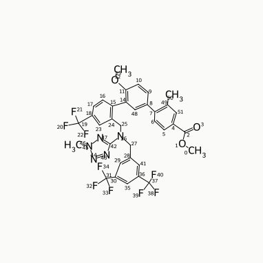 COC(=O)c1ccc(-c2ccc(OC)c(-c3ccc(C(F)(F)F)cc3CN(Cc3cc(C(F)(F)F)cc(C(F)(F)F)c3)c3nnn(C)n3)c2)c(C)c1